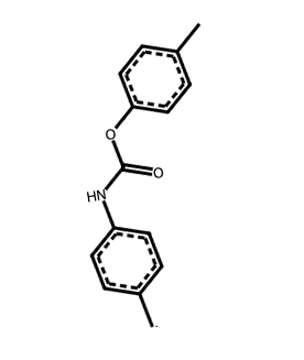 [CH2]c1ccc(NC(=O)Oc2ccc(C)cc2)cc1